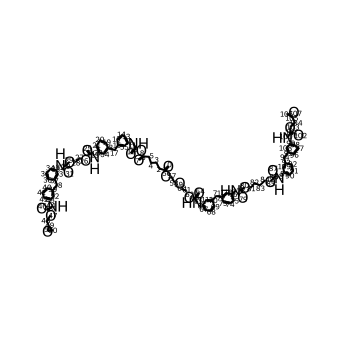 O=C(CCCCC(=O)OC(=O)Nc1cccc(Cc2cccc(NC(=O)OCCOC(=O)Nc3cccc(Cc4cccc(NC(=O)OCC5CO5)c4)c3)c2)c1)OCCOCCOC(=O)Nc1cccc(Cc2cccc(NC(=O)OCCCCOC(=O)Nc3cccc(Cc4cccc(NC(=O)OCC5CO5)c4)c3)c2)c1